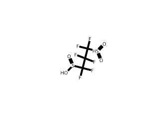 O=S(O)C(F)(F)C(F)(F)C(F)(F)[SH](=O)=O